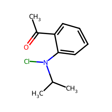 CC(=O)c1ccccc1N(Cl)C(C)C